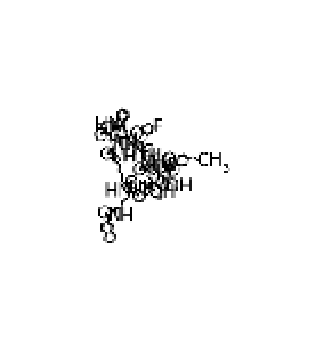 CCCc1ccc(S(=O)(=O)N[C@H](CC(=O)O)C(=O)N[C@@H](CCC(=O)O)C(=O)NCC(=O)N[C@@H](Cc2cccc(F)c2)C(=O)N[C@@H](Cc2c[nH]c3ccccc23)C(=O)N[C@@H](CCC(=O)O)C(=O)NCCCCCC(=O)N[C@@H](CCCCNC(=O)c2ccc3ccccc3c2)C(N)=O)cc1